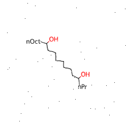 CCCCCCCCC(O)CCCCCCCC(O)CCC